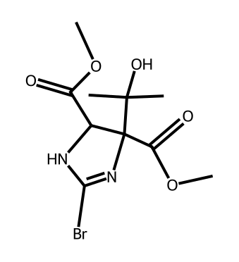 COC(=O)C1NC(Br)=NC1(C(=O)OC)C(C)(C)O